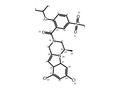 CC(C)Oc1ccc(S(C)(=O)=O)cc1C(=O)N1CC2=CC3C(Cl)=CC(Cl)=CC3N2[C@H](C)C1